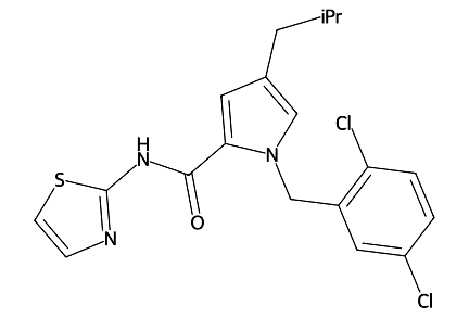 CC(C)Cc1cc(C(=O)Nc2nccs2)n(Cc2cc(Cl)ccc2Cl)c1